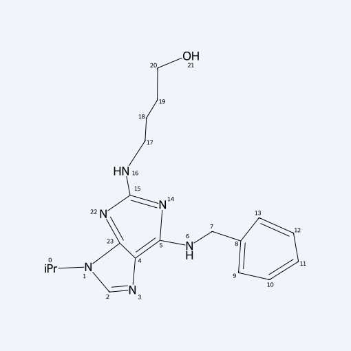 CC(C)n1cnc2c(NCc3ccccc3)nc(NCCCCO)nc21